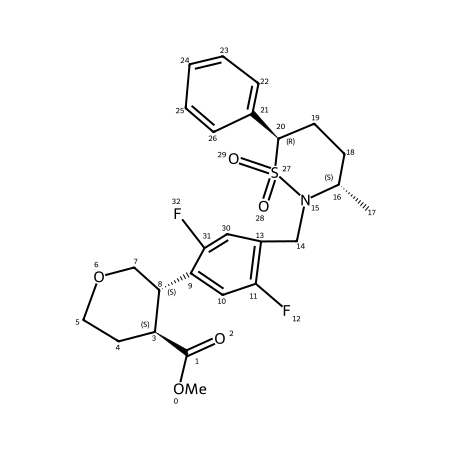 COC(=O)[C@H]1CCOC[C@@H]1c1cc(F)c(CN2[C@@H](C)CC[C@H](c3ccccc3)S2(=O)=O)cc1F